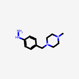 CN1CCN(Cc2ccc(NN)cc2)CC1